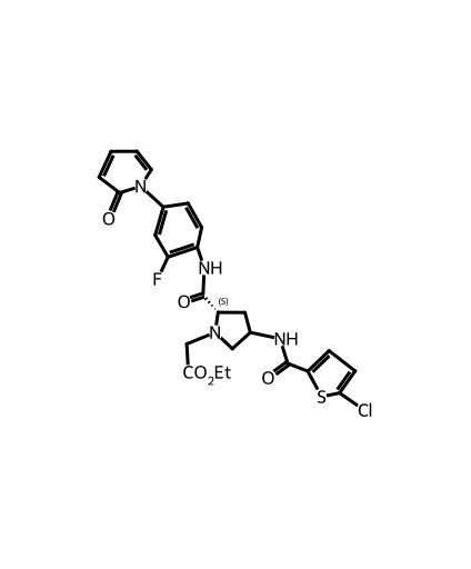 CCOC(=O)CN1CC(NC(=O)c2ccc(Cl)s2)C[C@H]1C(=O)Nc1ccc(-n2ccccc2=O)cc1F